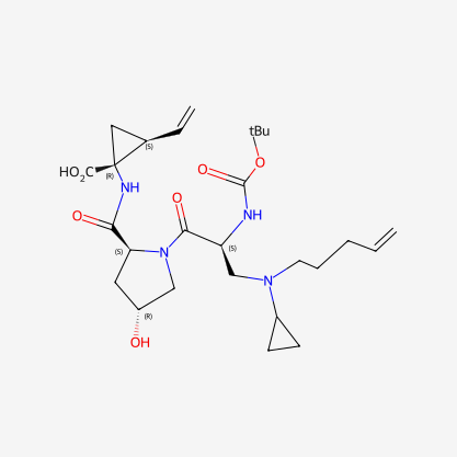 C=CCCCN(C[C@H](NC(=O)OC(C)(C)C)C(=O)N1C[C@H](O)C[C@H]1C(=O)N[C@]1(C(=O)O)C[C@H]1C=C)C1CC1